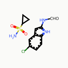 NS(=O)(=O)C1CC1.O=CNc1cc2cc(Cl)ccc2[nH]1